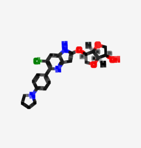 O[C@@H]1CO[C@H]2[C@@H]1OC[C@H]2Oc1cc2nc(-c3ccc(N4CCCC4)cc3)c(Cl)cc2[nH]1